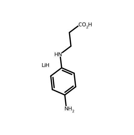 Nc1ccc(NCCC(=O)O)cc1.[LiH]